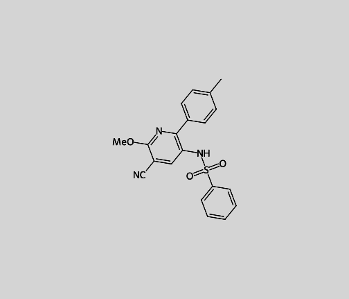 COc1nc(-c2ccc(C)cc2)c(NS(=O)(=O)c2ccccc2)cc1C#N